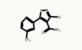 NC(=O)c1c(Cl)nsc1-c1cccc(C(F)(F)F)c1